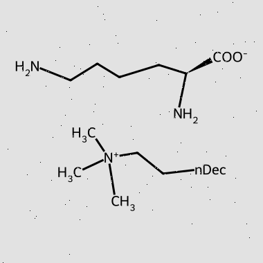 CCCCCCCCCCCC[N+](C)(C)C.NCCCC[C@H](N)C(=O)[O-]